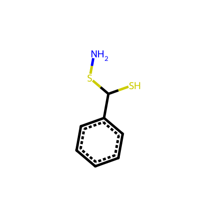 NSC(S)c1ccccc1